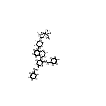 CC(C)(C)OC(=O)N1CCC(c2cccc3c2SCCN3c2ccc(OCc3ccccc3)nc2OCc2ccccc2)CC1